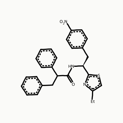 CCc1csc([C@H](Cc2ccc([N+](=O)[O-])cc2)NC(=O)C(Cc2ccccc2)c2ccccc2)n1